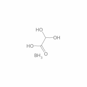 B.O=C(O)C(O)O